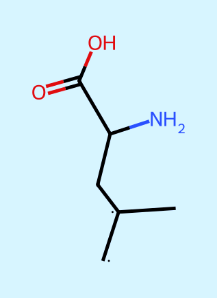 [CH2][C](C)CC(N)C(=O)O